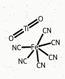 N#[C][Fe]([C]#N)([C]#N)([C]#N)([C]#N)[C]#N.[O]=[Ti]=[O]